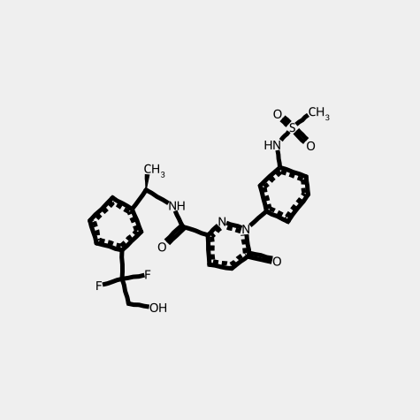 C[C@@H](NC(=O)c1ccc(=O)n(-c2cccc(NS(C)(=O)=O)c2)n1)c1cccc(C(F)(F)CO)c1